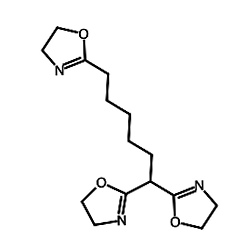 C(CCC1=NCCO1)CCC(C1=NCCO1)C1=NCCO1